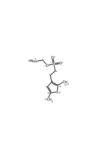 CCCCCCCCCCOS(=O)(=O)CCc1cc(C)sc1C